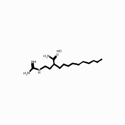 CCCCCCCCCCC(CCNC(=N)N)C(N)=O.Cl